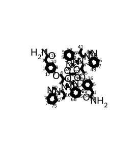 CCC(N(CC(COc1ccc(CC(N)=O)cc1)OC(=O)C(=O)OC(COc1ccc(CC(N)=O)cc1)CN(C(CC)n1cnc2ccccc21)n1cnc2ccccc21)n1cnc2ccccc21)n1cnc2ccccc21